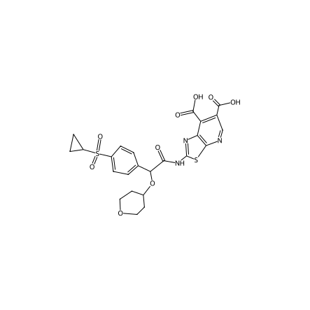 O=C(O)c1cnc2sc(NC(=O)C(OC3CCOCC3)c3ccc(S(=O)(=O)C4CC4)cc3)nc2c1C(=O)O